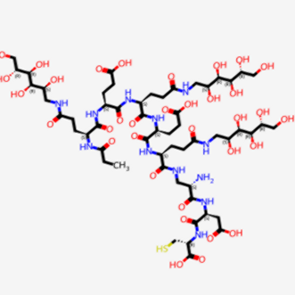 CCC(=O)N[C@@H](CCC(=O)NC[C@H](O)[C@@H](O)[C@H](O)[C@H](O)CO)C(=O)N[C@@H](CCC(=O)O)C(=O)N[C@@H](CCC(=O)NC[C@H](O)[C@@H](O)[C@H](O)[C@H](O)CO)C(=O)N[C@@H](CCC(=O)O)C(=O)N[C@@H](CCC(=O)NC[C@H](O)[C@@H](O)[C@H](O)[C@H](O)CO)C(=O)NC[C@H](N)C(=O)N[C@@H](CC(=O)O)C(=O)N[C@@H](CS)C(=O)O